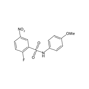 COc1ccc(NS(=O)(=O)c2cc([N+](=O)[O-])ccc2F)cc1